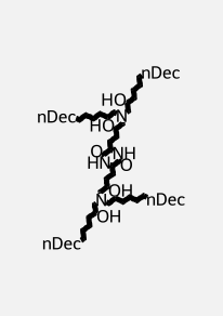 CCCCCCCCCCCCCCC(O)CN(CCCCC1NC(=O)C(CCCCN(CC(O)CCCCCCCCCCCCCC)CC(O)CCCCCCCCCCCCCC)NC1=O)CC(O)CCCCCCCCCCCCCC